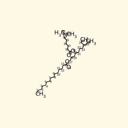 CCCCCCCCCCCCCCC(=O)OCC(CCCCCC(CC)CC)OC(=O)CCCCCN(C)C